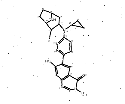 Cn1cnc2cc(O)c(-c3ccc(N(C4CC4)C4CC5CCC(N5)C4F)nn3)cc2c1=O